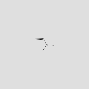 [CH]=CN(C)C